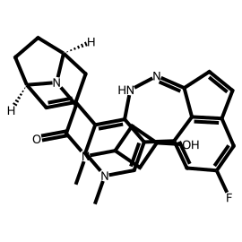 CN1C=C2C(=C(C3=C[C@H]4CC[C@@H](C3)N4CC(=O)N(C)C3CC(O)C3)C1)NN=C1C=Cc3cc(F)cc2c31